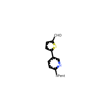 CCCCCc1ccc(-c2ccc(C=O)s2)cn1